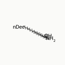 CCCCCCCCCCCCCCCCCCCCCCCCCCC=CC(O)CN